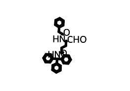 O=CC(CCC(=O)NC(c1ccccc1)(c1ccccc1)c1ccccc1)NC(=O)Cc1ccccc1